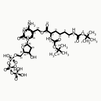 CC(C)(C)OC(=O)NCCCCC(NC(=O)OC(C)(C)C)C(=O)OCc1cn([C@H]2CC(O)[C@@H](COP(=O)(O)OP(=O)(O)OP(=O)(O)O)O2)c(=O)nc1N